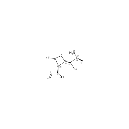 C=CC(Cl)[C@H]1C(F)C[C@H]1C(C)[C@H](C)N